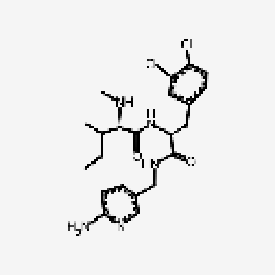 CCC(C)[C@@H](NC)C(=O)N[C@@H](Cc1ccc(Cl)c(Cl)c1)C(=O)NCc1ccc(N)nc1